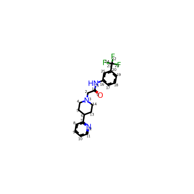 O=C(CN1CCC(c2ccccn2)CC1)Nc1cccc(C(F)(F)F)c1